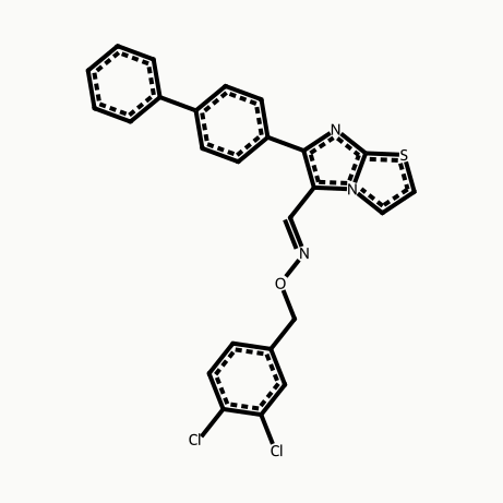 Clc1ccc(CO/N=C/c2c(-c3ccc(-c4ccccc4)cc3)nc3sccn23)cc1Cl